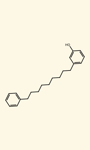 Oc1cccc(CCCCCCCCCc2ccccc2)c1